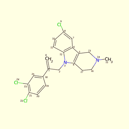 C=C(Cn1c2c(c3cc(Cl)ccc31)CN(C)CC2)c1ccc(Cl)c(Cl)c1